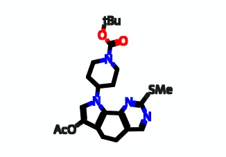 CSc1ncc2c(n1)-c1c(c(OC(C)=O)cn1C1CCN(C(=O)OC(C)(C)C)CC1)CC2